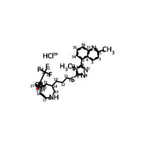 Cc1ccc2c(-c3nnc(SCCCC4CNC=CC56N=C(C(F)(F)F)OC5=CCCC46)n3C)cccc2n1.Cl